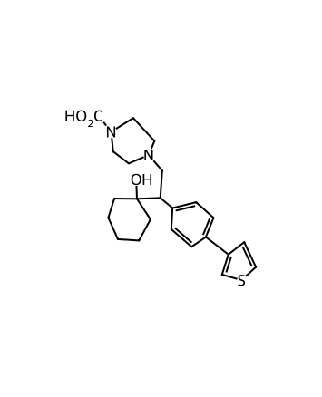 O=C(O)N1CCN(CC(c2ccc(-c3ccsc3)cc2)C2(O)CCCCC2)CC1